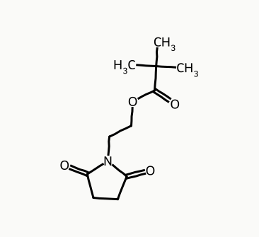 CC(C)(C)C(=O)OCCN1C(=O)CCC1=O